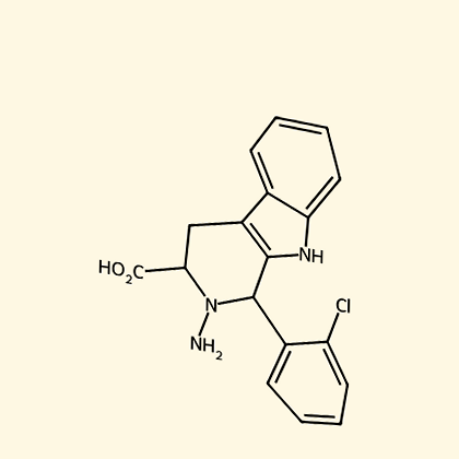 NN1C(C(=O)O)Cc2c([nH]c3ccccc23)C1c1ccccc1Cl